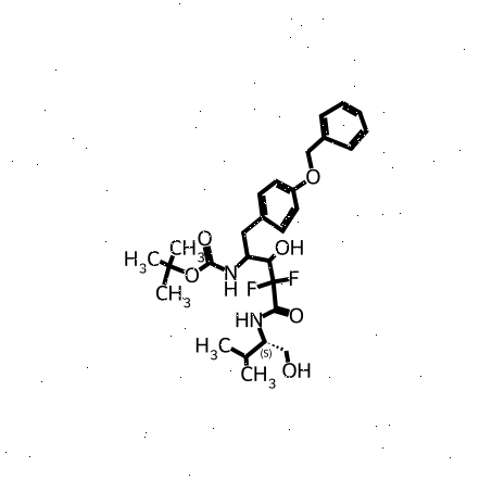 CC(C)[C@@H](CO)NC(=O)C(F)(F)C(O)C(Cc1ccc(OCc2ccccc2)cc1)NC(=O)OC(C)(C)C